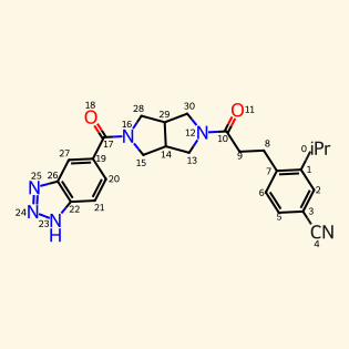 CC(C)c1cc(C#N)ccc1CCC(=O)N1CC2CN(C(=O)c3ccc4[nH]nnc4c3)CC2C1